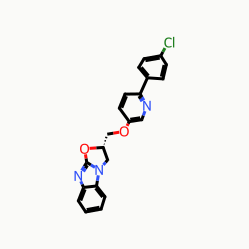 Clc1ccc(-c2ccc(OC[C@@H]3Cn4c(nc5ccccc54)O3)cn2)cc1